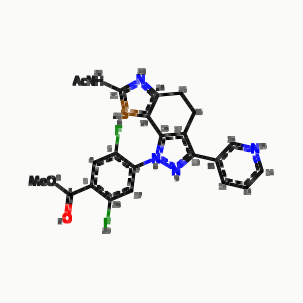 COC(=O)c1cc(F)c(-n2nc(-c3cccnc3)c3c2-c2sc(NC(C)=O)nc2CC3)cc1F